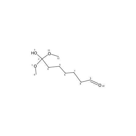 COC(O)(CCCCCC=O)OC